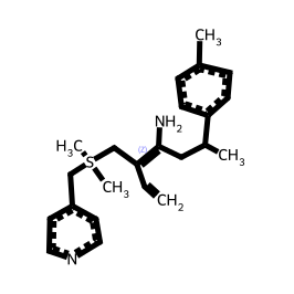 C=C/C(CS(C)(C)Cc1ccncc1)=C(/N)CC(C)c1ccc(C)cc1